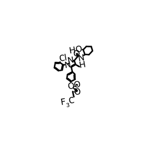 Cc1c(C(=O)NC2CCCCC2O)nn(-c2ccccc2Cl)c1-c1ccc(OS(=O)(=O)CCC(F)(F)F)cc1